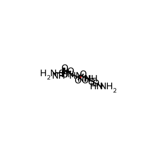 CC(C)(N)NCCOCCOCCNC(=O)CCC(=O)C(C)(C)NC(CCCCNC(=O)CCN1C(=O)CC(SCCCC(=N)N)C1=O)C(N)=O